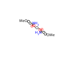 COc1ccc2cc([C@H](N)C(=O)OCC3CCC(COC(=O)[C@@H](N)c4ccc5cc(OC)ccc5c4)CC3)ccc2c1